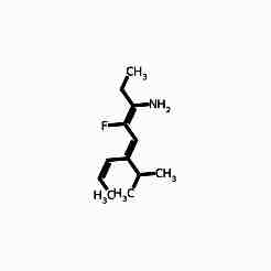 C\C=C/C(=C\C(F)=C(/N)CC)C(C)C